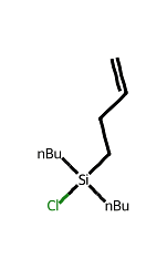 C=CCC[Si](Cl)(CCCC)CCCC